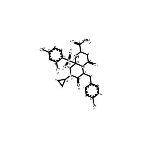 NC(=O)C1[C]C(=O)N2C(Cc3ccc(Br)cc3)C(=O)N(C3CC3)CC2(S(=O)(=O)c2ccc(Cl)cc2Cl)N1